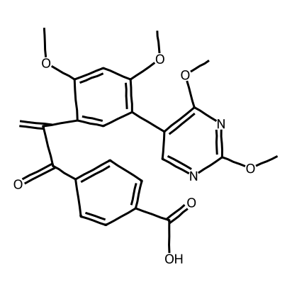 C=C(C(=O)c1ccc(C(=O)O)cc1)c1cc(-c2cnc(OC)nc2OC)c(OC)cc1OC